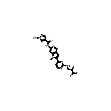 CC(C)n1cc(C(=O)Nc2cc3c(cn2)cc(-c2ccnc(NCC(F)C(F)F)n2)n3C)cn1